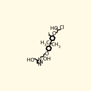 CC(C)(c1ccc(OC[C@@H](O)Cn2nncc2CO)cc1)c1ccc(OC[C@@H](O)CCl)c(I)c1